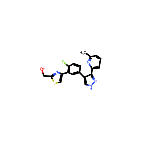 Cc1cccc(-c2n[nH]cc2-c2ccc(F)c(-c3csc(CO)n3)c2)n1